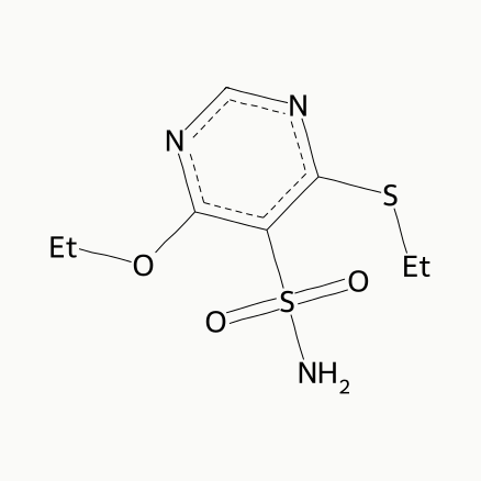 CCOc1ncnc(SCC)c1S(N)(=O)=O